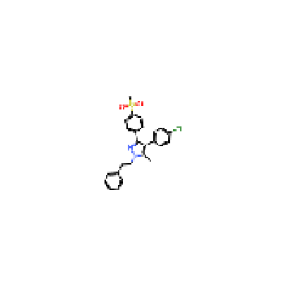 Cc1c(-c2ccc(Cl)cc2)c(-c2ccc(S(C)(=O)=O)cc2)nn1CCc1ccccc1